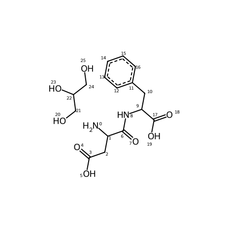 NC(CC(=O)O)C(=O)NC(Cc1ccccc1)C(=O)O.OCC(O)CO